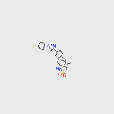 O=S1(=O)C=C[C@]2(N1)C1CC[C@H]2Cc2ccc(-c3cn(-c4ccc(F)cc4)cn3)cc2C1